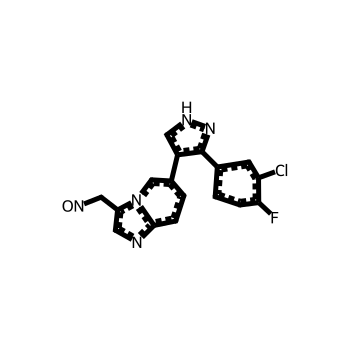 O=NCc1cnc2ccc(-c3c[nH]nc3-c3ccc(F)c(Cl)c3)cn12